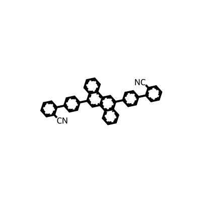 N#Cc1ccccc1-c1ccc(-c2cc3c4ccccc4c(-c4ccc(-c5ccccc5C#N)cc4)cc3c3ccccc23)cc1